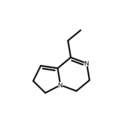 CCC1=NCCN2CCC=C12